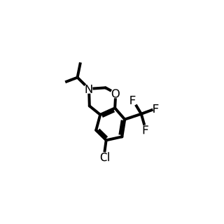 CC(C)N1COc2c(cc(Cl)cc2C(F)(F)F)C1